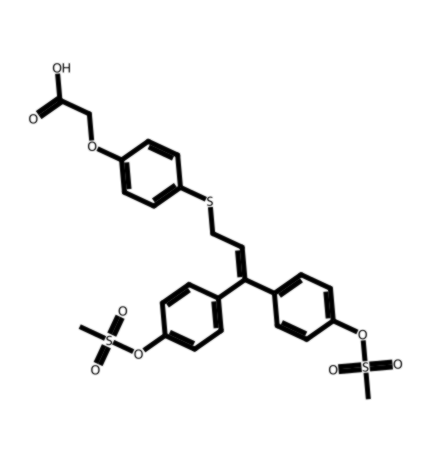 CS(=O)(=O)Oc1ccc(C(=CCSc2ccc(OCC(=O)O)cc2)c2ccc(OS(C)(=O)=O)cc2)cc1